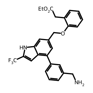 CCOC(=O)Cc1ccccc1OCc1cc(-c2cccc(CN)c2)c2cc(C(F)(F)F)[nH]c2c1